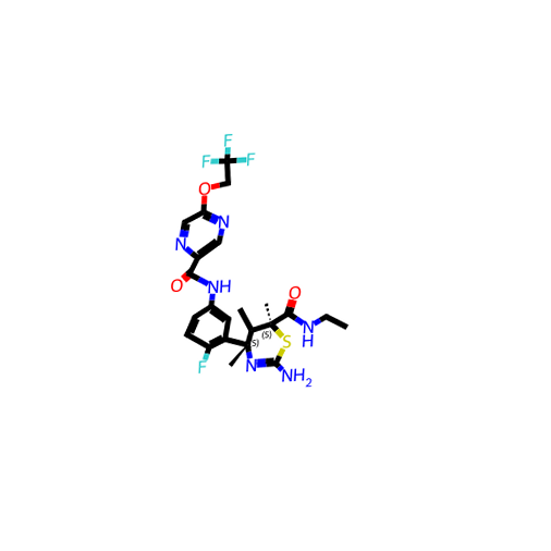 CCNC(=O)[C@@]1(C)SC(N)=N[C@](C)(c2cc(NC(=O)c3cnc(OCC(F)(F)F)cn3)ccc2F)C1C